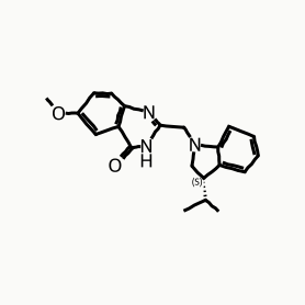 COc1ccc2nc(CN3C[C@@H](C(C)C)c4ccccc43)[nH]c(=O)c2c1